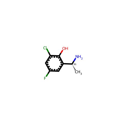 C[C@@H](N)c1cc(F)cc(Cl)c1O